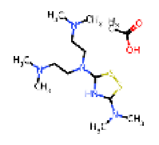 CC(=O)O.CN(C)CCN(CCN(C)C)C1NC(N(C)C)SS1